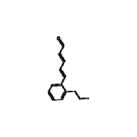 CCCc1ccccc1C=CC=CC=O